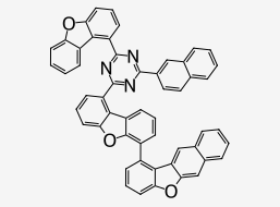 c1ccc2cc(-c3nc(-c4cccc5oc6ccccc6c45)nc(-c4cccc5oc6c(-c7cccc8oc9cc%10ccccc%10cc9c78)cccc6c45)n3)ccc2c1